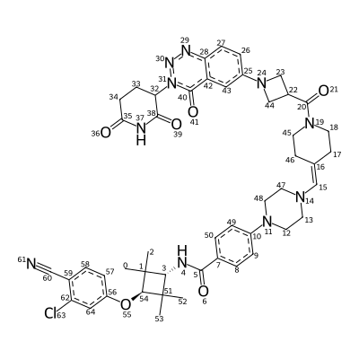 CC1(C)[C@H](NC(=O)c2ccc(N3CCN(C=C4CCN(C(=O)C5CN(c6ccc7nnn(C8CCC(=O)NC8=O)c(=O)c7c6)C5)CC4)CC3)cc2)C(C)(C)[C@H]1Oc1ccc(C#N)c(Cl)c1